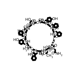 CC(C)C[C@@H]1NNC(=O)[C@H](Cc2c[nH]c3ccccc23)NC(=O)CN(C)C(=O)[C@H](Cc2ccc(O)cc2)NC(=O)[C@H](Cc2ccccc2)N(C)C(=O)[C@H](C(C)C)NC(=O)[C@H](CC(=O)O)NC(=O)CN(C)C(=O)[C@H](Cc2ccc(O)cc2)N(C)C(=O)[C@H](Cc2ccccc2)N(C)C(=O)[C@H](Cc2ccccc2)NC(=O)CSC[C@@H](C(=O)NCC(N)=O)NC1=O